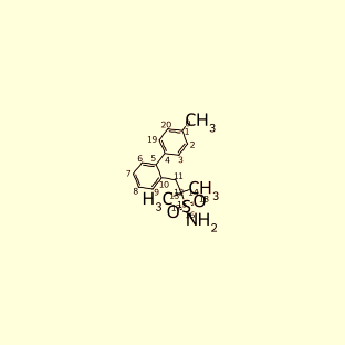 Cc1ccc(-c2ccccc2CC(C)(C)S(N)(=O)=O)cc1